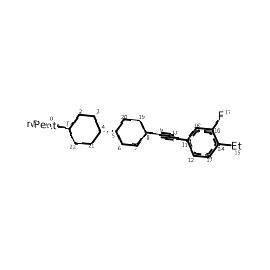 CCCCC[C@H]1CC[C@H](C2CCC(C#Cc3ccc(CC)c(F)c3)CC2)CC1